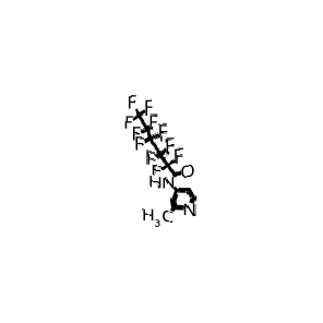 Cc1cc(NC(=O)C(F)(F)C(F)(F)C(F)(F)C(F)(F)C(F)(F)F)ccn1